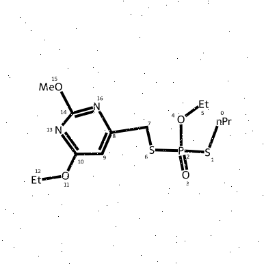 CCCSP(=O)(OCC)SCc1cc(OCC)nc(OC)n1